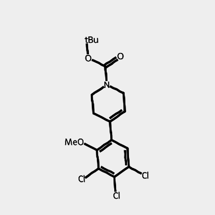 COc1c(C2=CCN(C(=O)OC(C)(C)C)CC2)cc(Cl)c(Cl)c1Cl